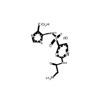 Cl.NCC(=O)Nc1ncc(S(=O)(=O)Nc2scnc2C(=O)O)s1